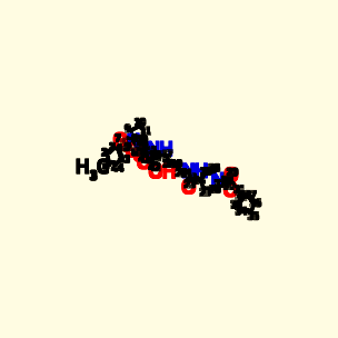 Cc1ccc(S(=O)(=O)N2CCC[C@H]2C(=O)N[C@@H](CCCCNC(=O)C2CCN(C(=O)OCc3ccccc3)CC2)C(=O)O)cc1